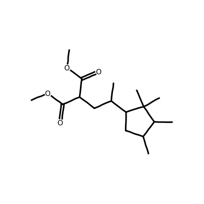 COC(=O)C(CC(C)C1CC(C)C(C)C1(C)C)C(=O)OC